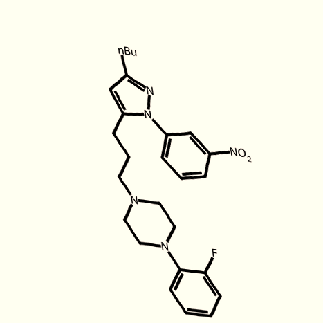 CCCCc1cc(CCCN2CCN(c3ccccc3F)CC2)n(-c2cccc([N+](=O)[O-])c2)n1